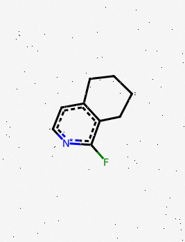 Fc1n[c]cc2c1C[C]CC2